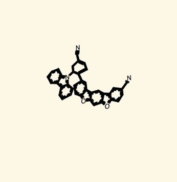 N#CC1=CC=C(c2ccc3oc4cc5oc6ccc(C#N)cc6c5cc4c3c2)C(n2c3ccccc3c3ccccc32)C1